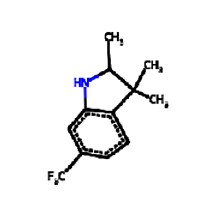 CC1Nc2cc(C(F)(F)F)ccc2C1(C)C